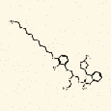 CCCCCCCCCCCCOc1cccc(OCC(COP(=O)(O)Oc2ccccc2CN2C=CN(C)C2)OCC)c1C